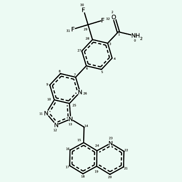 NC(=O)c1ccc(-c2ccc3nnn(Cc4cccc5cccnc45)c3n2)cc1C(F)(F)F